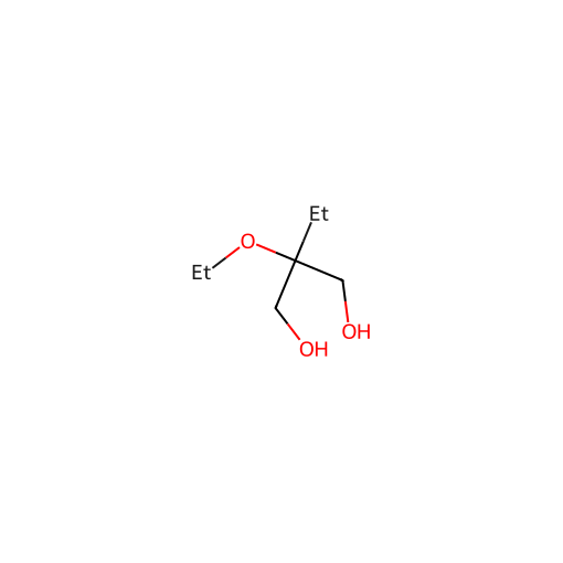 CCOC(CC)(CO)CO